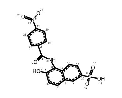 O=C(Nc1c(O)ccc2cc(S(=O)(=O)O)ccc12)c1ccc([N+](=O)[O-])cc1